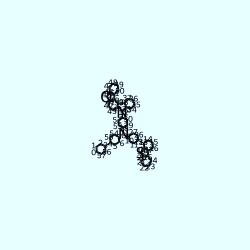 c1ccc(-c2ccc(N(c3ccc(-c4cccc5c4sc4ccccc45)cc3)c3ccc(-n4c5ccccc5c5c6c(ccc54)oc4ccccc46)cc3)cc2)cc1